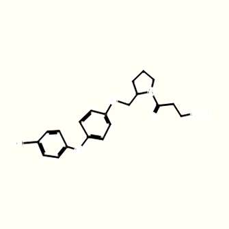 O=C(O)CCC(=O)N1CCCC1COc1ccc(Oc2ccc(Cl)cc2)cc1